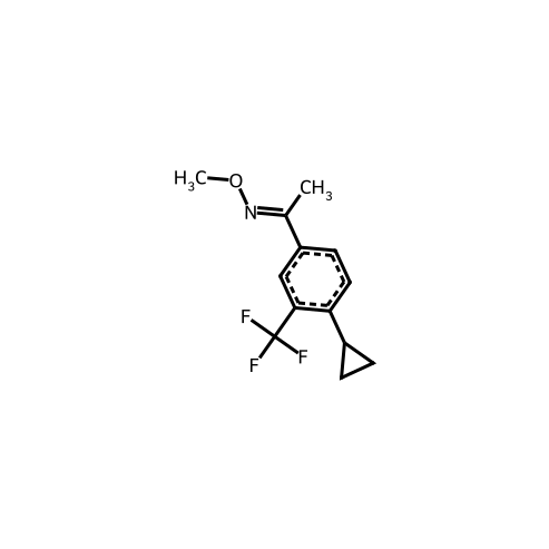 CON=C(C)c1ccc(C2CC2)c(C(F)(F)F)c1